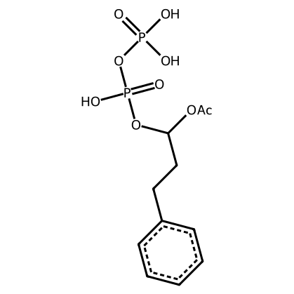 CC(=O)OC(CCc1ccccc1)OP(=O)(O)OP(=O)(O)O